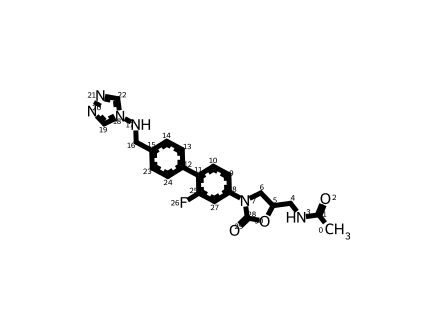 CC(=O)NCC1CN(c2ccc(-c3ccc(CNn4cnnc4)cc3)c(F)c2)C(=O)O1